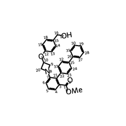 COC(=O)c1cccc(N2CC(Oc3ccc(CO)cc3)C2)c1-c1ccc(-c2ccccc2)cc1